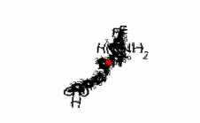 Cc1nnc(N[C@H](C)c2cc(N)cc(C(F)(F)F)c2)c2cc(-c3cccc(CN4CCN(c5ccc(C6CCC(=O)NC6=O)cc5)CC4)c3)ncc12